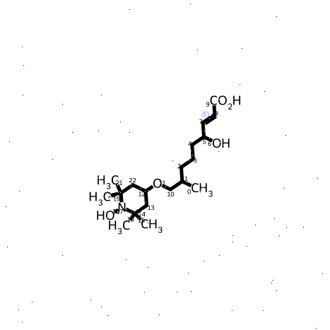 CC(CCCC(O)/C=C/C(=O)O)COC1CC(C)(C)N(O)C(C)(C)C1